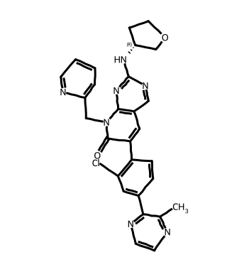 Cc1nccnc1-c1ccc(-c2cc3cnc(N[C@@H]4CCOC4)nc3n(Cc3ccccn3)c2=O)c(Cl)c1